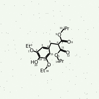 CCOc1cc(CC(C(=O)OC(C)C)C(=O)OC(C)C)cc(OCC)c1O